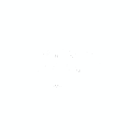 COc1ccccc1CCNc1ccccc1N1CCN(C=O)CC1